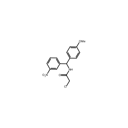 COc1ccc(C(NC(=O)CCl)c2cccc([N+](=O)[O-])c2)cc1